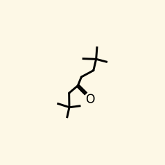 CC(C)(C)CCC(=O)CC(C)(C)C